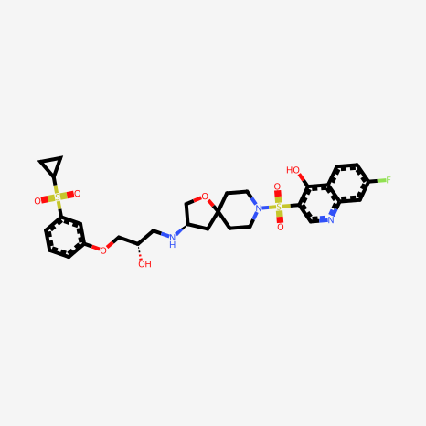 O=S(=O)(c1cccc(OC[C@@H](O)CN[C@H]2COC3(CCN(S(=O)(=O)c4cnc5cc(F)ccc5c4O)CC3)C2)c1)C1CC1